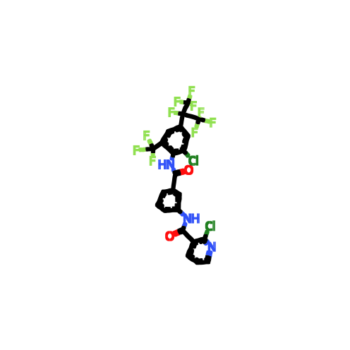 O=C(Nc1c(Cl)cc(C(F)(C(F)(F)F)C(F)(F)F)cc1C(F)(F)F)c1cccc(NC(=O)c2cccnc2Cl)c1